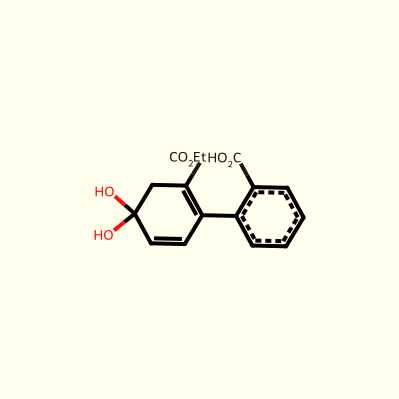 CCOC(=O)C1=C(c2ccccc2C(=O)O)C=CC(O)(O)C1